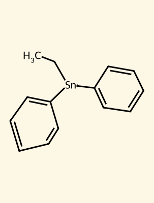 C[CH2][Sn]([c]1ccccc1)[c]1ccccc1